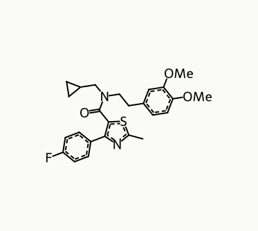 COc1ccc(CCN(CC2CC2)C(=O)c2sc(C)nc2-c2ccc(F)cc2)cc1OC